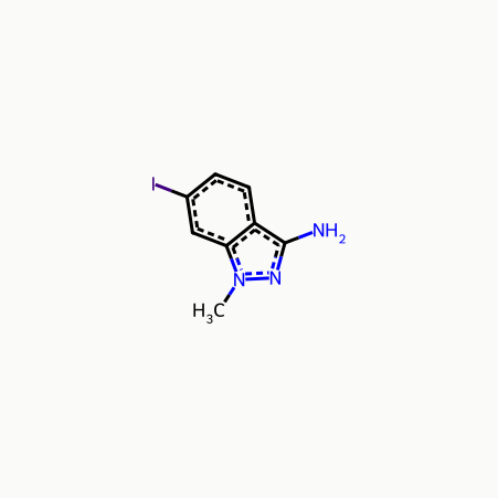 Cn1nc(N)c2ccc(I)cc21